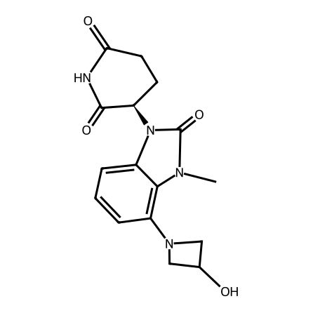 Cn1c(=O)n([C@@H]2CCC(=O)NC2=O)c2cccc(N3CC(O)C3)c21